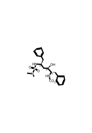 CN(C)S(=O)(=O)N[C@@H](Cc1ccccc1)C[C@@H](O)[C@H](Cc1ccccc1)NC(=O)O